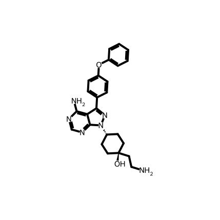 NCC[C@]1(O)CC[C@H](n2nc(-c3ccc(Oc4ccccc4)cc3)c3c(N)ncnc32)CC1